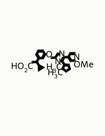 COc1cc(-c2ncc(COc3cccc(C(CC(=O)O)C4CC4)c3)nc2C2=CCCC2(C)C)ccn1